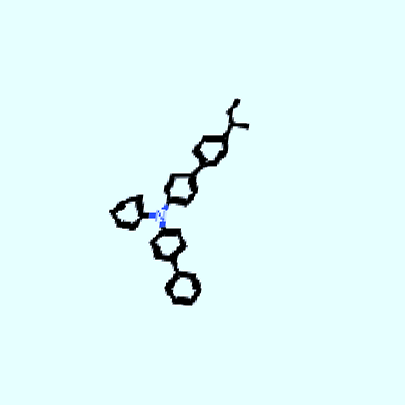 CCC(C)c1ccc(-c2ccc(N(c3ccccc3)c3ccc(-c4ccccc4)cc3)cc2)cc1